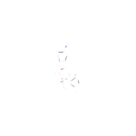 N#Cc1ccc(NC(=O)NC2[C@H]3COc4c(F)ccc(Cl)c4[C@@H]23)nc1